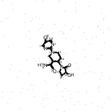 NC(=O)C1CN(c2ncc(C(F)(F)F)cn2)CCC1N1CCC(O)C1=O